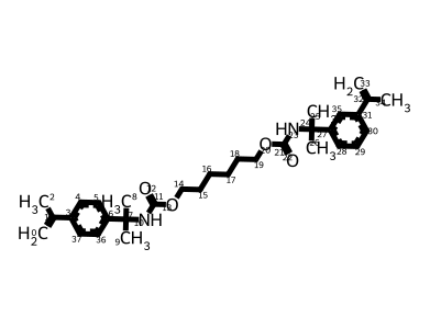 C=C(C)c1ccc(C(C)(C)NC(=O)OCCCCCCOC(=O)NC(C)(C)c2cccc(C(=C)C)c2)cc1